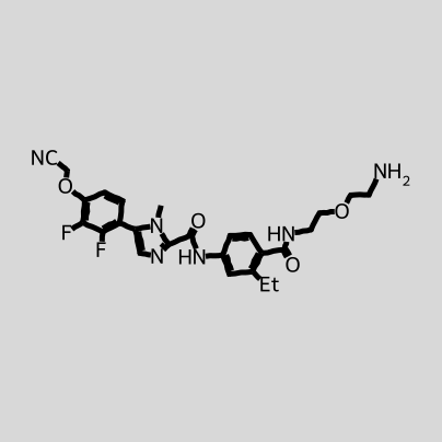 CCc1cc(NC(=O)c2ncc(-c3ccc(OCC#N)c(F)c3F)n2C)ccc1C(=O)NCCOCCN